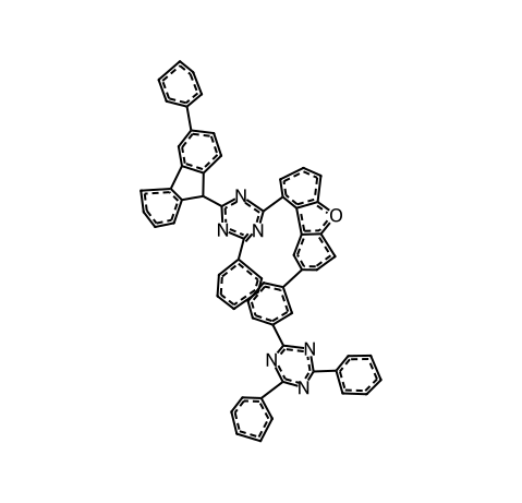 c1ccc(-c2ccc3c(c2)-c2ccccc2C3c2nc(-c3ccccc3)nc(-c3cccc4oc5ccc(-c6cccc(-c7nc(-c8ccccc8)nc(-c8ccccc8)n7)c6)cc5c34)n2)cc1